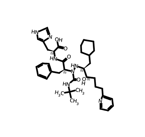 CC(C)(C)NC(=O)N(N[C@@H](CC1CCCCC1)[C@@H](O)CCCc1ccccn1)[C@@H](Cc1ccccc1)C(=O)N[C@@H](Cc1c[nH]cn1)C(=O)O